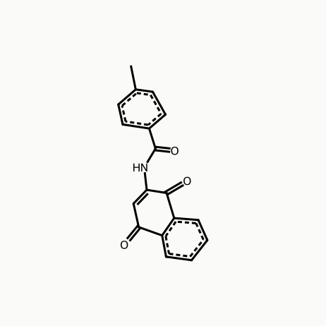 Cc1ccc(C(=O)NC2=CC(=O)c3ccccc3C2=O)cc1